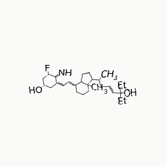 CCC(O)(/C=C/CC(C)C1CCC2/C(=C/C=C3/CC(O)CC(F)C3=N)CCCC21C)CC